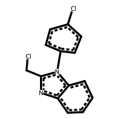 ClCc1nc2ccccc2n1-c1ccc(Cl)cc1